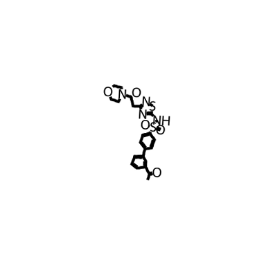 CC(=O)c1cccc(-c2ccc(S(=O)(=O)Nc3nc(CC(=O)N4CCOCC4)ns3)cc2)c1